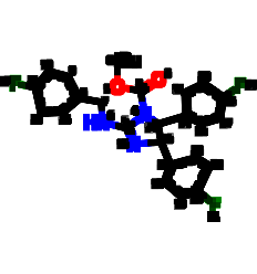 CC(C)(C)OC(=O)N1C(NCc2ccc(F)cc2)=NC(c2ccc(F)cc2)C1c1ccc(F)cc1